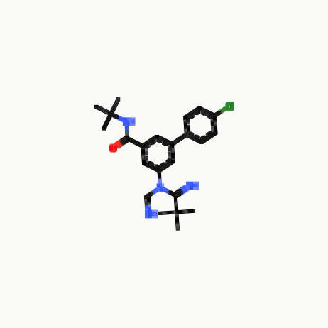 CC(C)(C)NC(=O)c1cc(-c2ccc(Cl)cc2)cc(N(C=N)C(=N)C(C)(C)C)c1